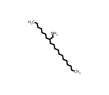 CCCCCCCCCCCCC(CN)CCCCCCC